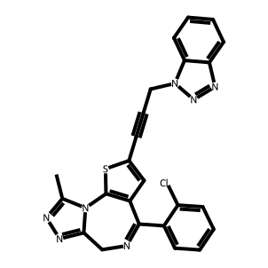 Cc1nnc2n1-c1sc(C#CCn3nnc4ccccc43)cc1C(c1ccccc1Cl)=NC2